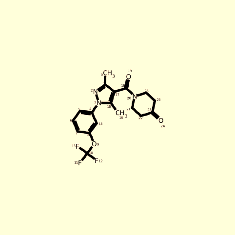 Cc1nn(-c2cccc(OC(F)(F)F)c2)c(C)c1C(=O)N1CCC(=O)CC1